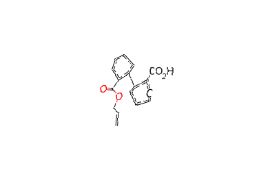 C=CCOC(=O)c1ccccc1-c1ccccc1C(=O)O